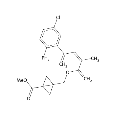 C=C(OCC12CC1(C(=O)OC)C2)/C(C)=C\C(=C)c1cc(Cl)ccc1P